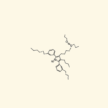 CCCCCCc1cccc(C2=C(CCCCC)C(CCCC)=C(c3cccc(CCCC)c3)[N+]2=[N-])c1.CCC[O][Ni][O]CCC